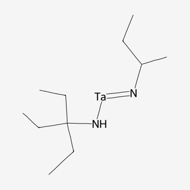 CCC(C)/[N]=[Ta]/[NH]C(CC)(CC)CC